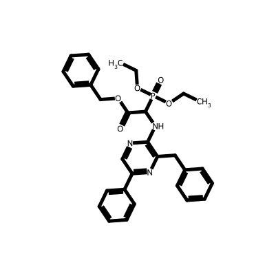 CCOP(=O)(OCC)C(Nc1ncc(-c2ccccc2)nc1Cc1ccccc1)C(=O)OCc1ccccc1